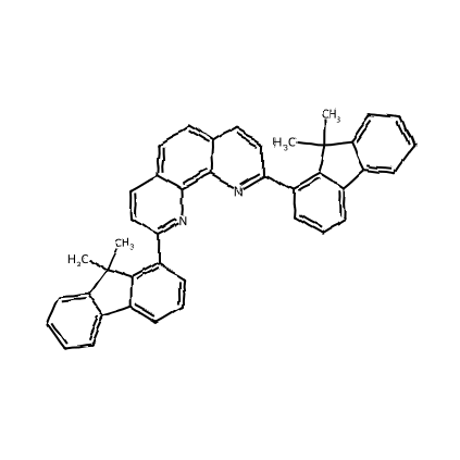 CC1(C)c2ccccc2-c2cccc(-c3ccc4ccc5ccc(-c6cccc7c6C(C)(C)c6ccccc6-7)nc5c4n3)c21